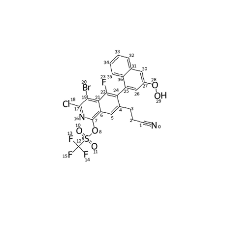 N#CCCc1cc2c(OS(=O)(=O)C(F)(F)F)nc(Cl)c(Br)c2c(F)c1-c1cc(OO)cc2ccccc12